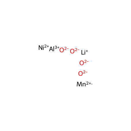 [Al+3].[Li+].[Mn+2].[Ni+2].[O-2].[O-2].[O-2].[O-2]